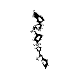 CN(Cc1cccs1)C1CCN(S(=O)(=O)c2ccc(Nc3nccc(-c4ccc(F)cc4)n3)cc2)CC1